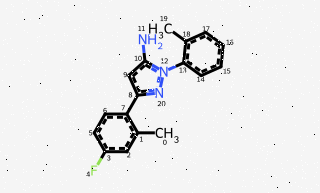 Cc1cc(F)ccc1-c1cc(N)n(-c2ccccc2C)n1